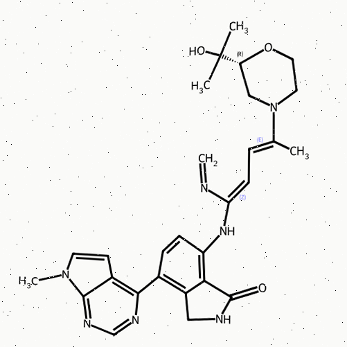 C=N/C(=C\C=C(/C)N1CCO[C@@H](C(C)(C)O)C1)Nc1ccc(-c2ncnc3c2ccn3C)c2c1C(=O)NC2